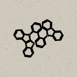 c1ccc(-n2c3ccccc3c3ccccc32)c(-c2ccccc2-n2c3ccccc3c3c4ccccc4sc32)c1